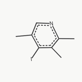 Cc1cnc(C)c(C)c1I